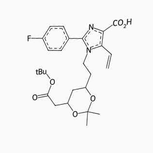 C=Cc1c(C(=O)O)nc(-c2ccc(F)cc2)n1CCC1CC(CC(=O)OC(C)(C)C)OC(C)(C)O1